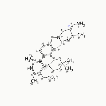 CC(=N)/C(=C\N)CN1CCc2cc(-c3c(C)nc(C)c(CC(=O)O)c3N3CCC(C)(C)CC3)ccc2C1